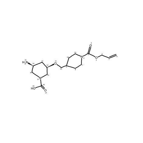 C=CCOC(=O)N1CCC(CO[C@@H]2C[C@H](N)CN(C(=O)O)C2)CC1